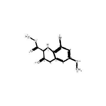 COC(=O)C1Nc2c(Br)cc(OC)cc2CC1=O